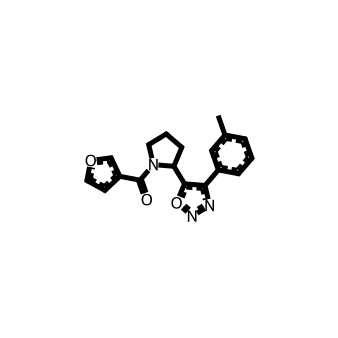 Cc1cccc(-c2nnoc2C2CCCN2C(=O)c2ccoc2)c1